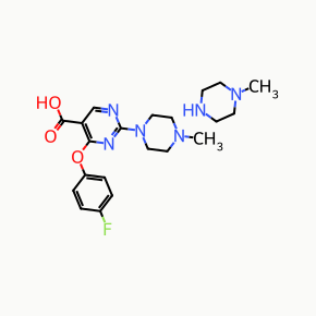 CN1CCN(c2ncc(C(=O)O)c(Oc3ccc(F)cc3)n2)CC1.CN1CCNCC1